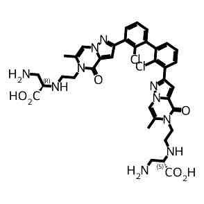 Cc1cn2nc(-c3cccc(-c4cccc(-c5cc6c(=O)n(CCN[C@H](CN)C(=O)O)c(C)cn6n5)c4Cl)c3Cl)cc2c(=O)n1CCN[C@@H](CN)C(=O)O